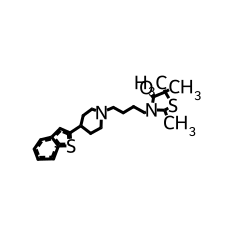 CC1SC(C)(C)C(=O)N1CCCCN1CCC(c2cc3ccccc3s2)CC1